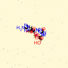 Nc1nc2c(nnn2[C@@H]2O[C@H](CO)C[C@H]2OP(O)(=S)OC[C@@]23CO[C@@H]([C@H](n4cnc5c(N)ncnc54)O2)[C@@H]3O)c(=O)[nH]1